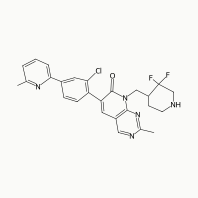 Cc1cccc(-c2ccc(-c3cc4cnc(C)nc4n(CC4CCNCC4(F)F)c3=O)c(Cl)c2)n1